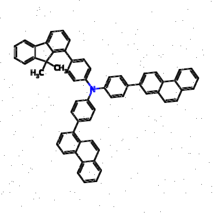 CC1(C)c2ccccc2-c2cccc(-c3ccc(N(c4ccc(-c5ccc6c(ccc7ccccc76)c5)cc4)c4ccc(-c5cccc6c5ccc5ccccc56)cc4)cc3)c21